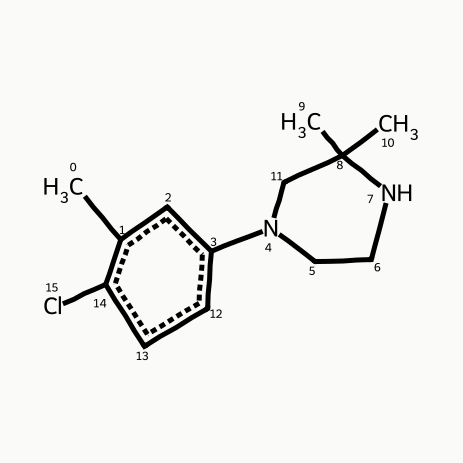 Cc1cc(N2CCNC(C)(C)C2)ccc1Cl